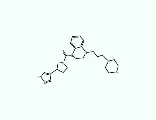 O=C(N1CCC(c2cn[nH]c2)C1)N1CCN(CCCN2CCOCC2)c2ccccc21